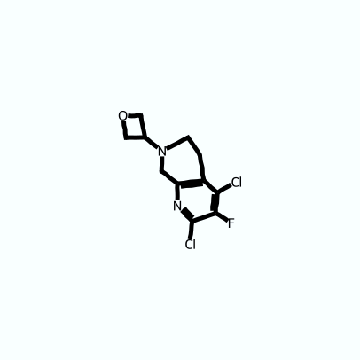 Fc1c(Cl)nc2c(c1Cl)CCN(C1COC1)C2